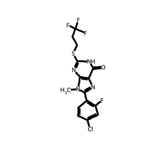 Cn1c(-c2ccc(Cl)cc2F)nc2c(=O)[nH]c(SCCC(F)(F)F)nc21